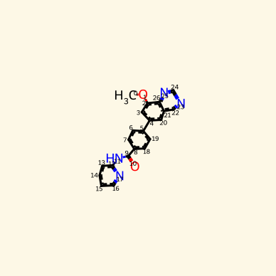 COc1cc(-c2ccc(C(=O)Nc3ccccn3)cc2)cc2cncnc12